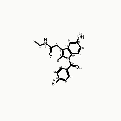 CCNC(=O)Cc1c(C)n(C(=O)c2ccc(Br)cc2)c2ccc(O)cc12